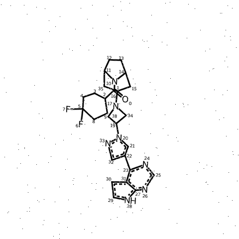 O=C(C1CCC(F)(F)CC1)N1C2CCC1CC(N1C[C](n3cc(-c4ncnc5[nH]ccc45)cn3)C1)C2